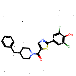 O=C(c1cnc(-c2cc(Cl)c(O)c(Cl)c2)s1)N1CCC(Cc2ccccc2)CC1